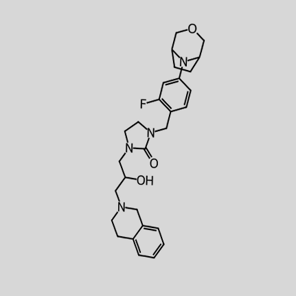 O=C1N(Cc2ccc(N3C4CCC3COC4)cc2F)CCN1CC(O)CN1CCc2ccccc2C1